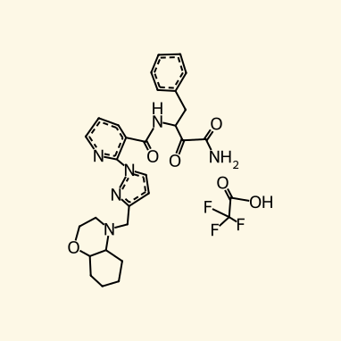 NC(=O)C(=O)C(Cc1ccccc1)NC(=O)c1cccnc1-n1ccc(CN2CCOC3CCCCC32)n1.O=C(O)C(F)(F)F